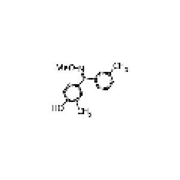 CO/N=C(/c1cccc(C)c1)c1ccc(O)c(C)c1